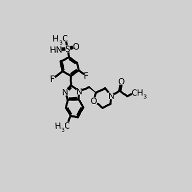 CCC(=O)N1CCO[C@@H](Cn2c(-c3c(F)cc(S(C)(=N)=O)cc3F)nc3cc(C)ccc32)C1